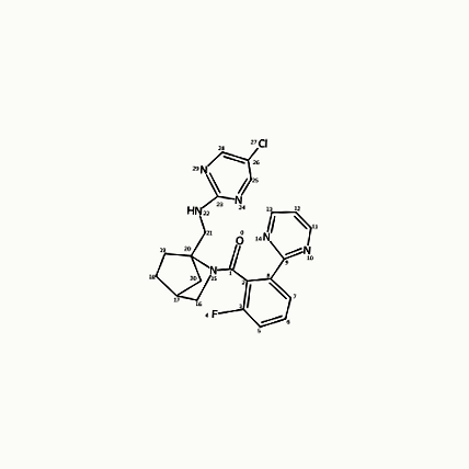 O=C(c1c(F)cccc1-c1ncccn1)N1CC2CCC1(CNc1ncc(Cl)cn1)C2